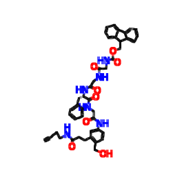 C#CCCNC(=O)CCc1cc(NC(=O)CNC(=O)[C@H](Cc2ccccc2)NC(=O)CNC(=O)CNC(=O)OCC2c3ccccc3-c3ccccc32)ccc1CO